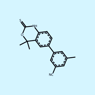 Cc1cc(C#N)cc(-c2ccc3c(c2)C(C)(C)OC(=S)N3)c1